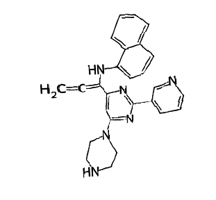 C=C=C(Nc1cccc2ccccc12)c1cc(N2CCNCC2)nc(-c2cccnc2)n1